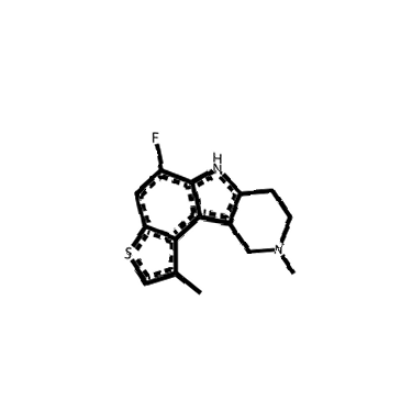 Cc1csc2cc(F)c3[nH]c4c(c3c12)CN(C)CC4